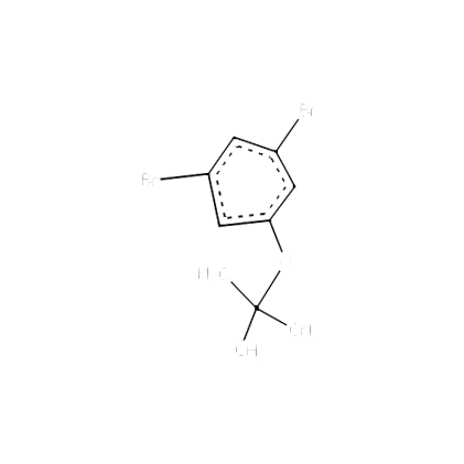 CC(C)(C)Oc1cc(Br)cc(Br)c1